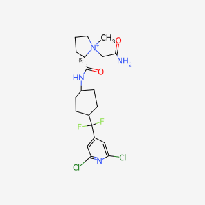 C[N+]1(CC(N)=O)CCC[C@H]1C(=O)NC1CCC(C(F)(F)c2cc(Cl)nc(Cl)c2)CC1